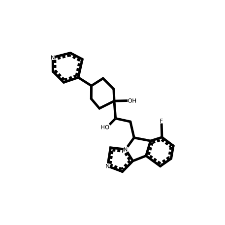 OC(CC1c2c(F)cccc2-c2cncn21)C1(O)CCC(c2ccncc2)CC1